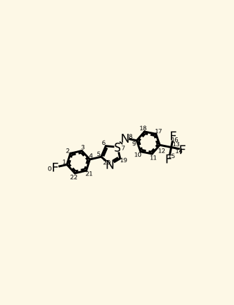 Fc1ccc(C2=CS(=Nc3ccc(C(F)(F)F)cc3)C=N2)cc1